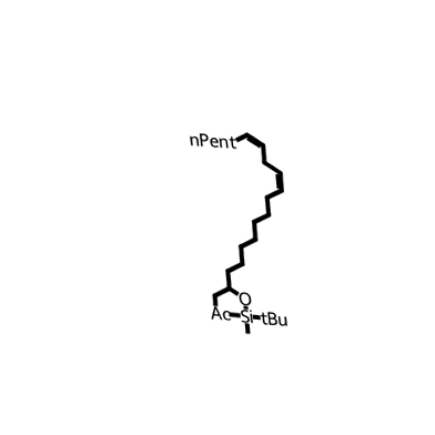 CCCCC/C=C\C/C=C\CCCCCCCC(CC(C)=O)O[Si](C)(C)C(C)(C)C